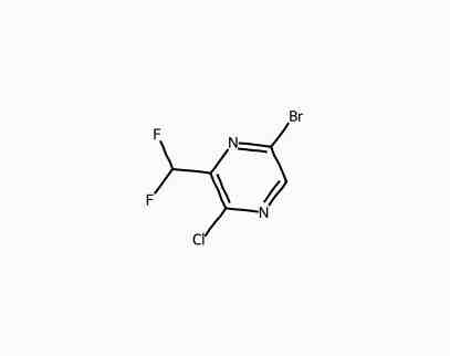 FC(F)c1nc(Br)cnc1Cl